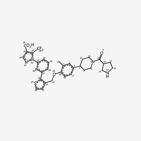 Cc1cc(C2CCN(C(=O)C3CCNC3)CC2)ccc1OCc1ccsc1-c1cccc(-n2ncc(C(=O)O)c2C(F)(F)F)n1